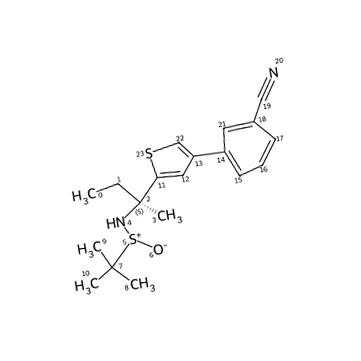 CC[C@](C)(N[S+]([O-])C(C)(C)C)c1cc(-c2cccc(C#N)c2)cs1